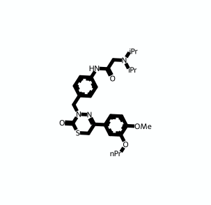 CCCOc1cc(C2=NN(Cc3ccc(NC(=O)CN(C(C)C)C(C)C)cc3)C(=O)SC2)ccc1OC